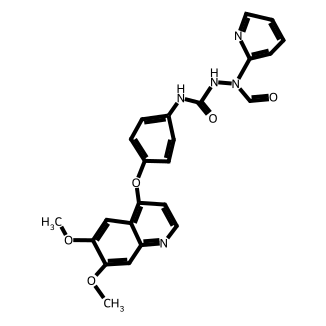 COc1cc2nccc(Oc3ccc(NC(=O)NN(C=O)c4ccccn4)cc3)c2cc1OC